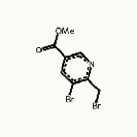 COC(=O)c1cnc(CBr)c(Br)c1